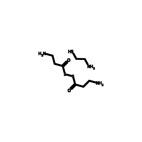 NCCC(=O)SSC(=O)CCN.NCCS